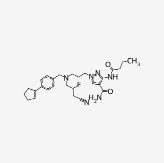 CCCC(=O)Nc1nn(CCCN(Cc2ccc(C3=CCCC3)cc2)CC(F)CC#N)cc1C(N)=O